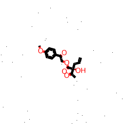 C=CC[C@](O)(C(C)=O)C(=O)OCC(=O)c1ccc(OC)cc1